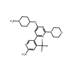 BN1CCC(Oc2cc(-c3cnc(N)cc3C(F)(F)F)nc(N3CCOCC3)n2)CC1